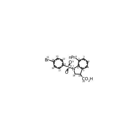 CCCc1cccc2c1N(S(=O)(=O)c1ccc(Br)cc1)CC2C(=O)O